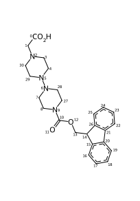 O=C(O)CN1CCN(N2CCN(C(=O)OCC3c4ccccc4-c4ccccc43)CC2)CC1